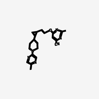 Cc1cnc(N2CCC(C3CC3CCOc3cc(C#N)nc(C)n3)CC2)cn1